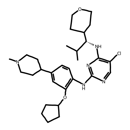 CC(C)[C@@H](Nc1nc(Nc2ccc(C3CCN(C)CC3)cc2OC2CCCC2)ncc1Cl)C1CCOCC1